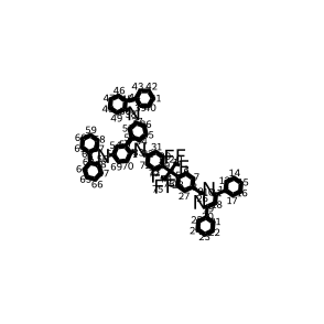 FC(F)(F)C(c1ccc(-c2nc(-c3ccccc3)cc(-c3ccccc3)n2)cc1)(c1ccc(-n2c3ccc(-n4c5ccccc5c5ccccc54)cc3c3cc(-n4c5ccccc5c5ccccc54)ccc32)cc1)C(F)(F)F